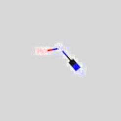 N#C[N]O